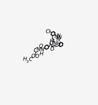 CCOC(=O)C1CCCN(C(=O)Nc2ccc(NC(=O)[C@H](Cc3ccccc3)NC(=O)/C=C/c3cc(Cl)ccc3-n3cnnn3)cc2)C1